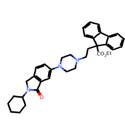 CCOC(=O)C1(CCN2CCN(c3ccc4c(c3)C(=O)N(C3CCCCC3)C4)CC2)c2ccccc2-c2ccccc21